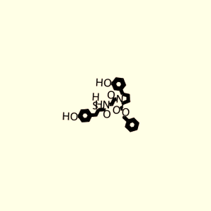 O=C(NCC(=O)N1C(c2cccc(O)c2)CC[C@H]1C(=O)OCc1ccccc1)C(S)Cc1ccc(O)cc1